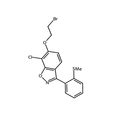 CSc1ccccc1-c1noc2c(Cl)c(OCCBr)ccc12